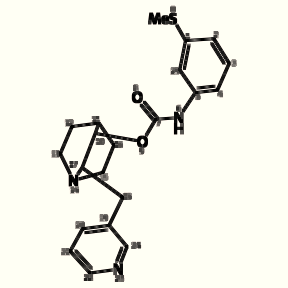 CSc1cccc(NC(=O)OC2C3CCN(CC3)C2Cc2cccnc2)c1